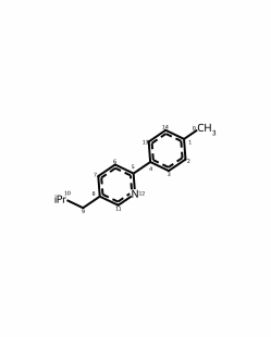 Cc1ccc(-c2ccc(CC(C)C)cn2)cc1